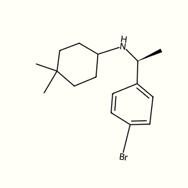 C[C@H](NC1CCC(C)(C)CC1)c1ccc(Br)cc1